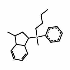 CCCC[Si](C)(c1ccccc1)C1CC(C)C2C=CC=CC21